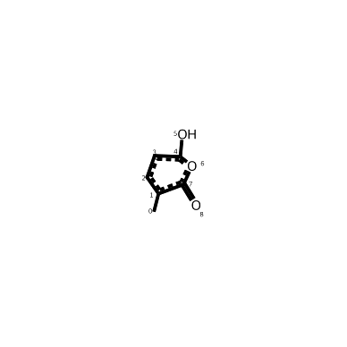 Cc1ccc(O)oc1=O